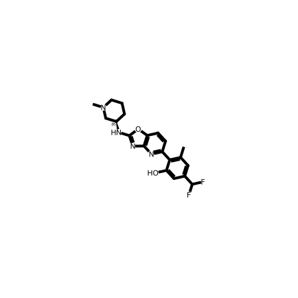 Cc1cc(C(F)F)cc(O)c1-c1ccc2oc(N[C@@H]3CCCN(C)C3)nc2n1